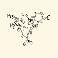 NC(=O)C1(c2ccc([N+](=O)[O-])cc2[N+](=O)[O-])CN(c2ccc(Cl)cc2)CCN1C(=S)S